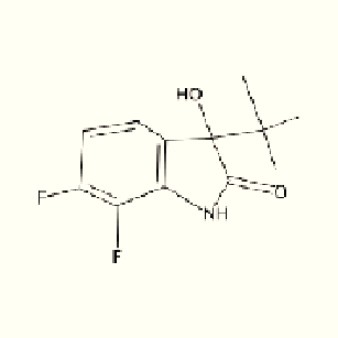 CC(C)(C)C1(O)C(=O)Nc2c1ccc(F)c2F